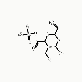 C=CC(OCC)OC(C=C)OCC.O=P(O)(O)O